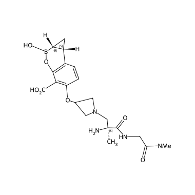 CNC(=O)CNC(=O)[C@@](C)(N)CN1CC(Oc2ccc3c(c2C(=O)O)OB(O)[C@@H]2C[C@H]32)C1